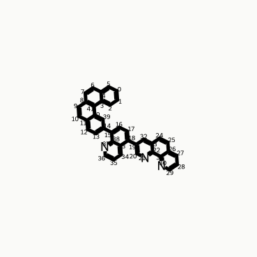 c1ccc2c(c1)ccc1ccc3ccc(-c4ccc(-c5cnc6c(ccc7cccnc76)c5)c5cccnc45)cc3c12